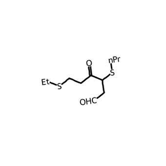 CCCSC(CC=O)C(=O)CCSCC